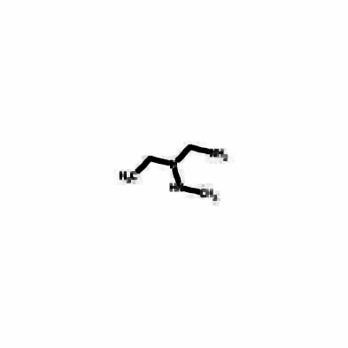 CCN(CN)NC